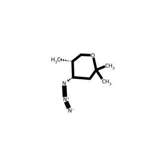 C[C@@H]1COC(C)(C)C[C@@H]1N=[N+]=[N-]